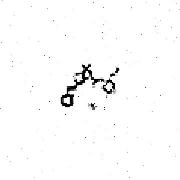 COC[C@H]1CN[C@H](C)CN1CC(=O)N1CC(C)(C)c2cnc(-c3cc4ccccc4o3)cc21.Cl.Cl